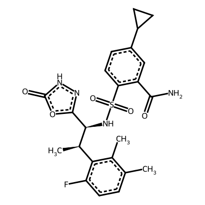 Cc1ccc(F)c([C@@H](C)[C@H](NS(=O)(=O)c2ccc(C3CC3)cc2C(N)=O)c2n[nH]c(=O)o2)c1C